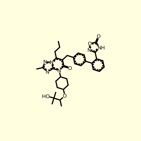 CCCc1c(Cc2ccc(-c3ccccc3-c3noc(=O)[nH]3)cc2)c(=O)n(C2CCC(OC(C)C(C)(C)O)CC2)c2nc(C)nn12